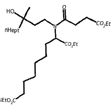 CCCCCCCC(C)(O)CCN(C(=O)CCC(=O)OCC)C(CCCCCCC(=O)OCC)C(=O)OCC